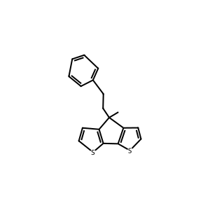 CC1(CCc2ccccc2)c2ccsc2-c2sccc21